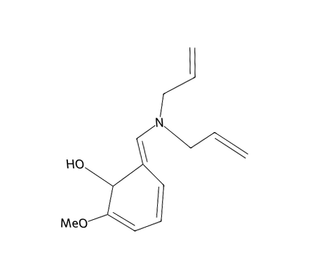 C=CCN(C=C1C=CC=C(OC)C1O)CC=C